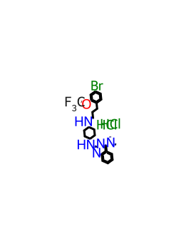 CN(C)c1nc(NC2CCC(NCCCc3ccc(Br)cc3OC(F)(F)F)CC2)nc2ccccc12.Cl.Cl